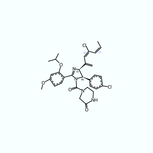 C=C(/C=C(Cl)\C=C/C)[C@@H]1N=C(c2ccc(OC)cc2OC(C)C)N(C(=O)N2CCNC(=O)C2)[C@@H]1c1ccc(Cl)cc1